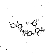 Cc1cc(Cl)cc(-c2cc(Nc3ccc(C(=O)NNc4ncc(F)c(N5CCOCC5)n4)nc3)cc(C(F)(F)F)c2)c1